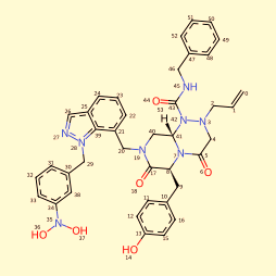 C=CCN1CC(=O)N2[C@@H](Cc3ccc(O)cc3)C(=O)N(Cc3cccc4cnn(Cc5cccc(N(O)O)c5)c34)C[C@@H]2N1C(=O)NCc1ccccc1